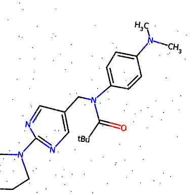 CN(C)c1ccc(N(Cc2cnc(N3CCCCC3)nc2)C(=O)C(C)(C)C)cc1